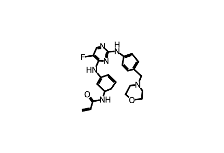 C=CC(=O)NC1C=C(Nc2nc(Nc3ccc(CN4CCOCC4)cc3)ncc2F)C=CC1